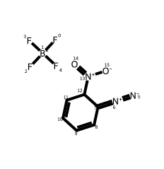 F[B-](F)(F)F.[N-]=[N+]=C1C=CC=CC1[N+](=O)[O-]